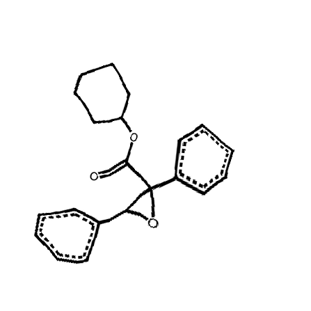 O=C(OC1CCCCC1)C1(c2ccccc2)OC1c1ccccc1